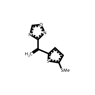 C=C(c1ncon1)c1ccc(SC)s1